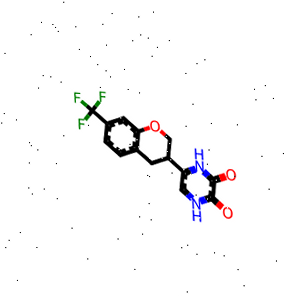 O=c1[nH]cc(C2COc3cc(C(F)(F)F)ccc3C2)[nH]c1=O